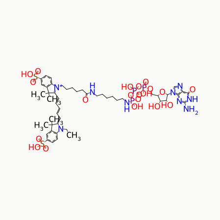 CCN1/C(=C/C=C/C=C/C2=[N+](CCCCCC(=O)NCCCCCCNP(=O)(O)OP(=O)(O)OP(=O)(O)OCC3OC(n4cnc5c(=O)[nH]c(N)nc54)C(O)C3O)c3ccc(S(=O)(=O)O)cc3C2(C)C)C(C)(C)c2cc(S(=O)(=O)O)ccc21